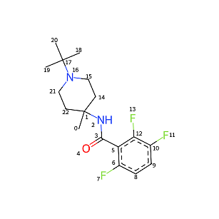 CC1(NC(=O)c2c(F)ccc(F)c2F)CCN(C(C)(C)C)CC1